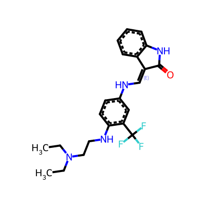 CCN(CC)CCNc1ccc(N/C=C2/C(=O)Nc3ccccc32)cc1C(F)(F)F